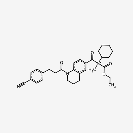 CCOC(=O)[N+](C)(C(=O)c1ccc2c(c1)CCCN2C(=O)CCc1ccc(C#N)cc1)C1CCCCC1